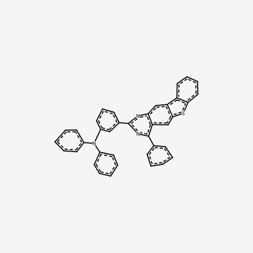 c1ccc(-c2nc(-c3cccc(N(c4ccccc4)c4ccccc4)c3)nc3cc4c(cc23)sc2ccccc24)cc1